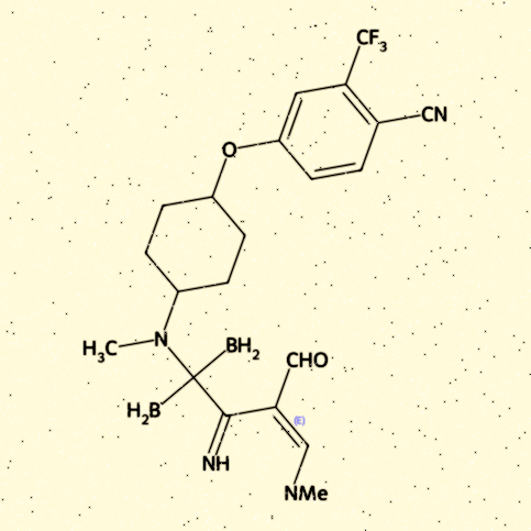 BC(B)(C(=N)/C(C=O)=C\NC)N(C)C1CCC(Oc2ccc(C#N)c(C(F)(F)F)c2)CC1